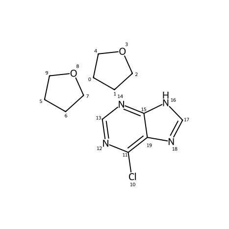 C1CCOC1.C1CCOC1.Clc1ncnc2[nH]cnc12